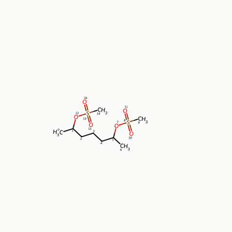 CC(CCCC(C)OS(C)(=O)=O)OS(C)(=O)=O